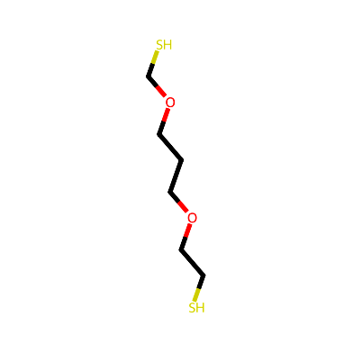 SCCOCCCOCS